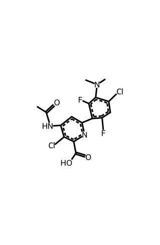 CC(=O)Nc1cc(-c2c(F)cc(Cl)c(N(C)C)c2F)nc(C(=O)O)c1Cl